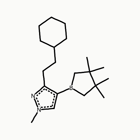 Cn1cc(B2CC(C)(C)C(C)(C)C2)c(CCC2CCCCC2)n1